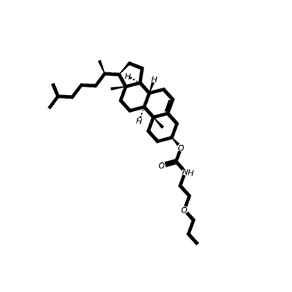 CCCOCCNC(=O)O[C@H]1CC[C@@]2(C)C(=CC[C@H]3[C@@H]4CC[C@H]([C@H](C)CCCC(C)C)[C@@]4(C)CC[C@@H]32)C1